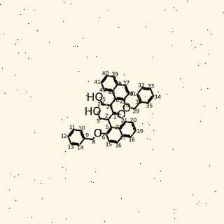 O=C(C(CO)c1c(OCc2ccccc2)ccc2ccccc12)C(CO)c1c(OCc2ccccc2)ccc2ccccc12